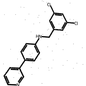 Clc1cc(Cl)cc(CNc2ccc(-c3cccnc3)cc2)c1